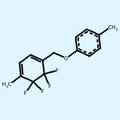 CC1=CC=C(COc2ccc(C)cc2)C(F)(F)C1(F)F